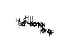 CC(NCc1cc2ccc(Cn3cnc(-c4cncc(N5CCC(F)(F)C5)c4)n3)cc2[nH]1)C12CC(C1)[C@@H](F)C2